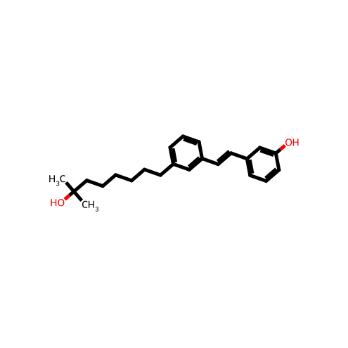 CC(C)(O)CCCCCCc1cccc(/C=C/c2cccc(O)c2)c1